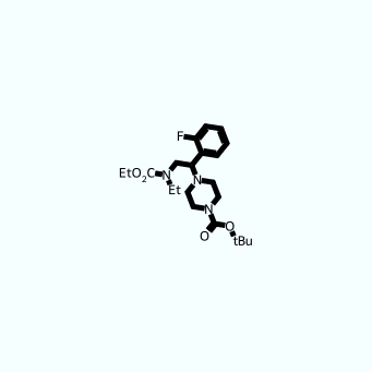 CCOC(=O)N(CC)CC(c1ccccc1F)N1CCN(C(=O)OC(C)(C)C)CC1